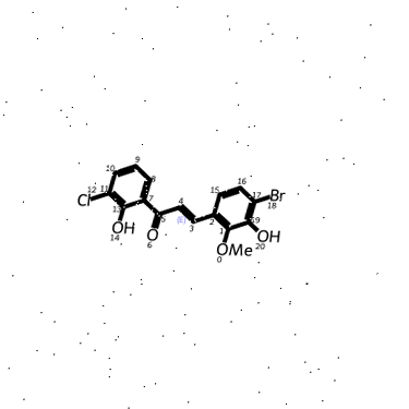 COc1c(/C=C/C(=O)c2cccc(Cl)c2O)ccc(Br)c1O